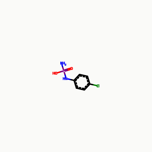 NP(=O)(O)Nc1ccc(Cl)cc1